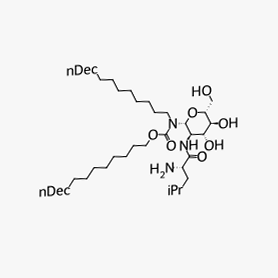 CCCCCCCCCCCCCCCCCCOC(=O)N(CCCCCCCCCCCCCCCCCC)[C@@H]1O[C@H](CO)[C@@H](O)[C@H](O)[C@H]1NC(=O)[C@@H](N)CC(C)C